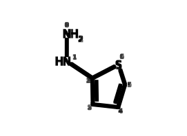 NNc1cccs1